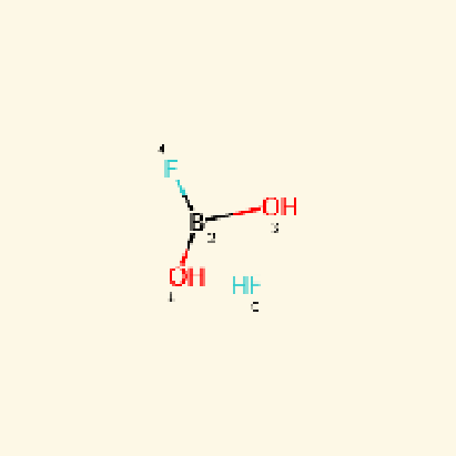 F.OB(O)F